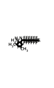 Cc1cc(C)c(N)c(C(N)C(F)(F)C(F)(F)C(F)(F)C(F)(F)C(F)(F)C(F)(F)F)c1